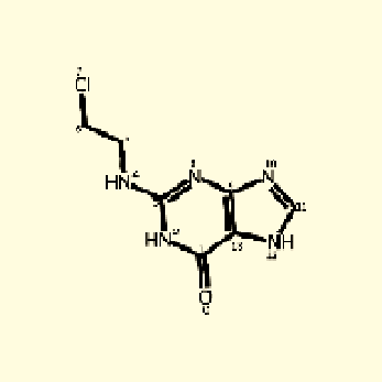 O=c1[nH]c(NCCCl)nc2nc[nH]c12